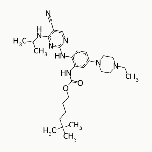 CCN1CCN(c2ccc(Nc3ncc(C#N)c(NC(C)C)n3)c(NC(=O)OCCCCC(C)(C)C)c2)CC1